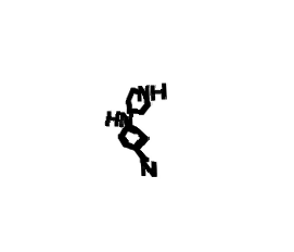 N#Cc1ccc(NC2CCNCC2)cc1